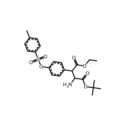 CCOC(=O)C(c1ccc(OS(=O)(=O)c2ccc(C)cc2)cc1)C(N)C(=O)OC(C)(C)C